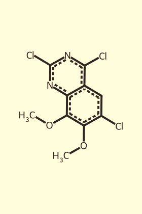 COc1c(Cl)cc2c(Cl)nc(Cl)nc2c1OC